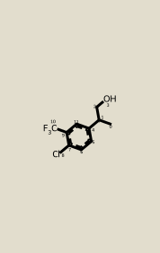 C[C](CO)c1ccc(Cl)c(C(F)(F)F)c1